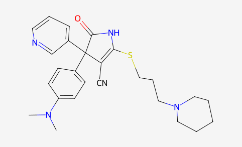 CN(C)c1ccc(C2(c3cccnc3)C(=O)NC(SCCCN3CCCCC3)=C2C#N)cc1